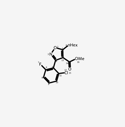 CCCCCCc1onc(-c2c(F)cccc2Cl)c1C(=O)OC